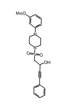 COc1cccc(N2CCN(S(=O)(=O)CC(O)C#Cc3ccccc3)CC2)c1